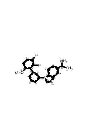 COc1ccc(F)c(F)c1-c1cccc(-n2cnc3cc(C(C)N)ccc32)c1